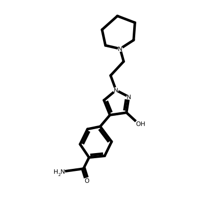 NC(=O)c1ccc(-c2cn(CCN3CCCCC3)nc2O)cc1